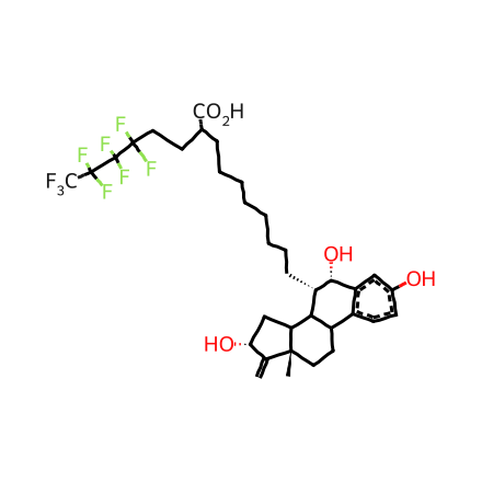 C=C1[C@H](O)CC2C3C(CC[C@]12C)c1ccc(O)cc1[C@@H](O)[C@H]3CCCCCCCCC(CCC(F)(F)C(F)(F)C(F)(F)C(F)(F)F)C(=O)O